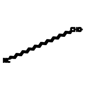 N#CCCCCCCCCCCCCCCCCCCCC[C]=O